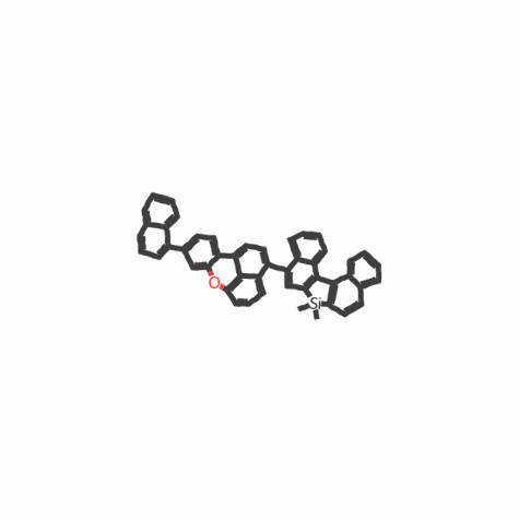 C[Si]1(C)c2ccc3ccccc3c2-c2c1cc(-c1ccc3c4c(cccc14)Oc1cc(-c4cccc5ccccc45)ccc1-3)c1ccccc21